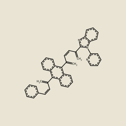 C=C(/C=C\C(=C)c1nc2ccccc2n1-c1ccccn1)c1c2ccccc2c(C(=C)/C=C\c2ccccc2)c2ccccc12